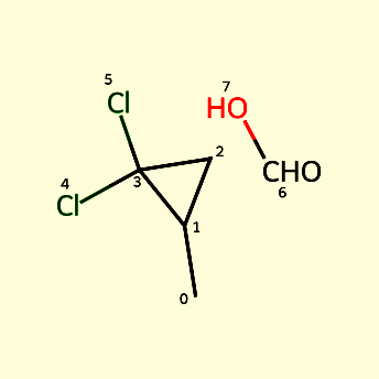 CC1CC1(Cl)Cl.O=CO